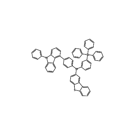 c1ccc(-n2c3ccccc3c3c(-c4ccc(N(c5cccc([Si](c6ccccc6)(c6ccccc6)c6ccccc6)c5)c5ccc6sc7ccccc7c6c5)cc4)cccc32)cc1